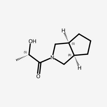 C[C@H](O)C(=O)N1C[C@H]2CCC[C@H]2C1